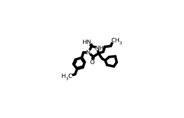 CCCCC1(CC2CCCCC2)NC(=N)N(Cc2ccc(CC)cc2)C1=O